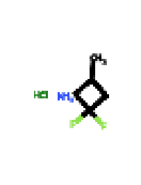 CC1CC(F)(F)C1.Cl.N